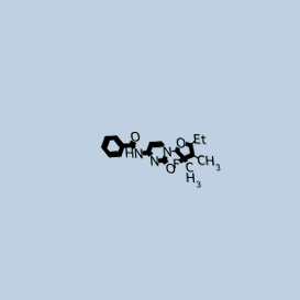 CC[C@H]1O[C@@H](n2ccc(NC(=O)c3ccccc3)nc2=O)C(C)(F)[C@H]1C